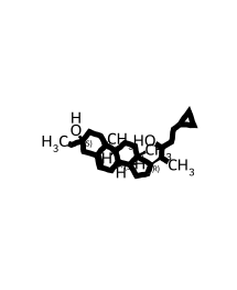 CC[C@]1(O)CC[C@@]2(C)C(=CC[C@H]3[C@@H]4CC[C@H](C(C)C(O)CCC5CC5)[C@@]4(C)CC[C@@H]32)C1